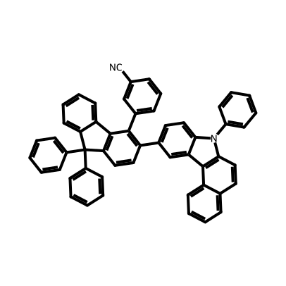 N#Cc1cccc(-c2c(-c3ccc4c(c3)c3c5ccccc5ccc3n4-c3ccccc3)ccc3c2-c2ccccc2C3(c2ccccc2)c2ccccc2)c1